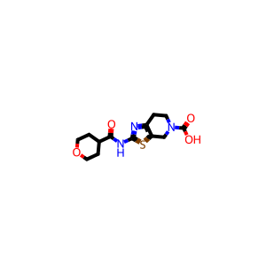 O=C(Nc1nc2c(s1)CN(C(=O)O)CC2)C1CCOCC1